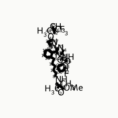 COC(=O)C(C)(C)CNCCCCCCc1ccccc1-c1nc(NS(=O)(=O)c2cccc(F)n2)cnc1-n1ccc(OCC(C)(C)C(F)(F)F)n1